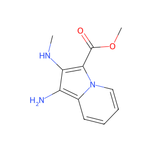 CNc1c(N)c2ccccn2c1C(=O)OC